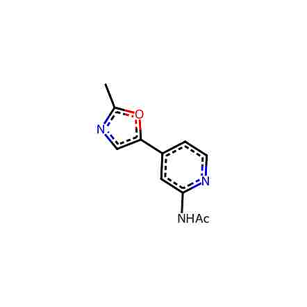 CC(=O)Nc1cc(-c2cnc(C)o2)ccn1